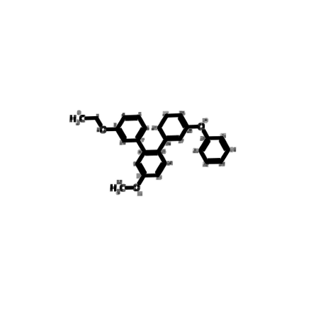 CCOc1cccc(-c2cc(OC)ccc2C2=CC(Oc3ccccc3)=CC[CH]2)c1